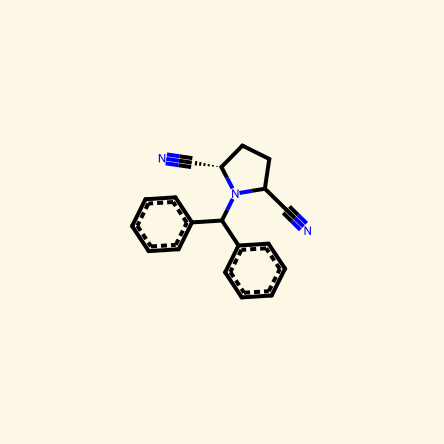 N#CC1CC[C@@H](C#N)N1C(c1ccccc1)c1ccccc1